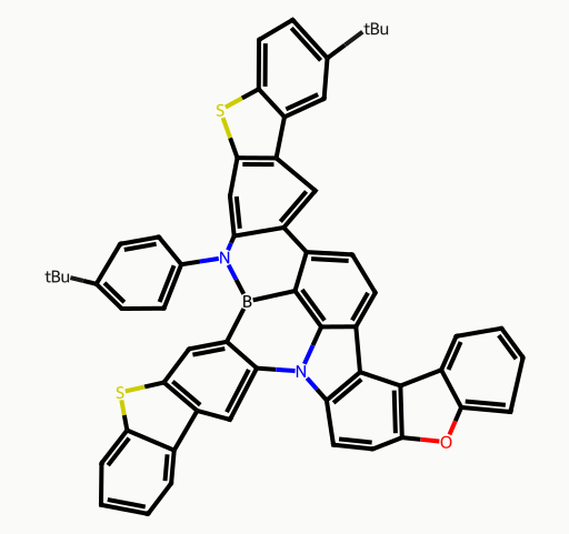 CC(C)(C)c1ccc(N2B3c4cc5sc6ccccc6c5cc4-n4c5ccc6oc7ccccc7c6c5c5ccc(c3c54)-c3cc4c(cc32)sc2ccc(C(C)(C)C)cc24)cc1